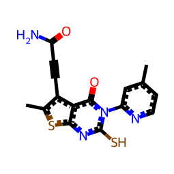 Cc1ccnc(-n2c(S)nc3sc(C)c(C#CC(N)=O)c3c2=O)c1